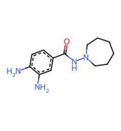 Nc1ccc(C(=O)NN2CCCCCC2)cc1N